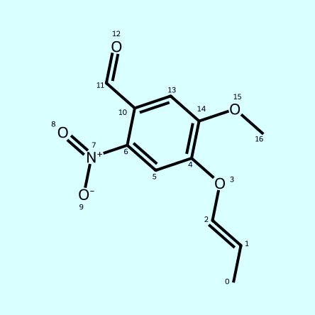 CC=COc1cc([N+](=O)[O-])c(C=O)cc1OC